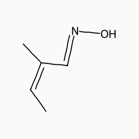 CC=C(C)C=NO